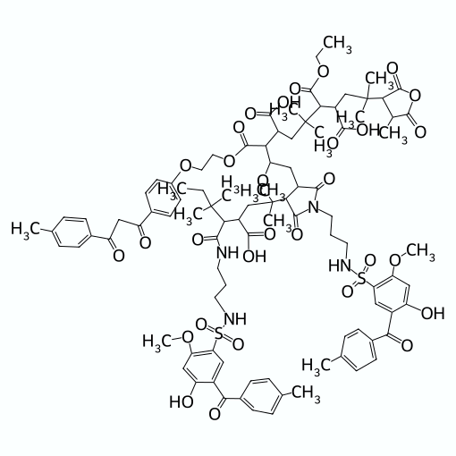 CCOC(=O)C(C(CC(C)(C)C1C(=O)OC(=O)C1C)C(=O)O)C(C)(C)CC(C(=O)O)C(C(=O)OCCOc1ccc(C(=O)CC(=O)c2ccc(C)cc2)cc1)C(CC1C(=O)N(CCCNS(=O)(=O)c2cc(C(=O)c3ccc(C)cc3)c(O)cc2OC)C(=O)C1C(C)(C)CC(C(=O)O)C(C(=O)NCCCNS(=O)(=O)c1cc(C(=O)c2ccc(C)cc2)c(O)cc1OC)C(C)(C)CC)OC